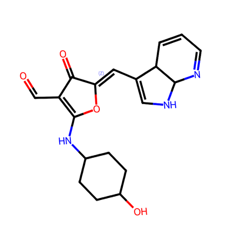 O=CC1=C(NC2CCC(O)CC2)O/C(=C\C2=CNC3N=CC=CC23)C1=O